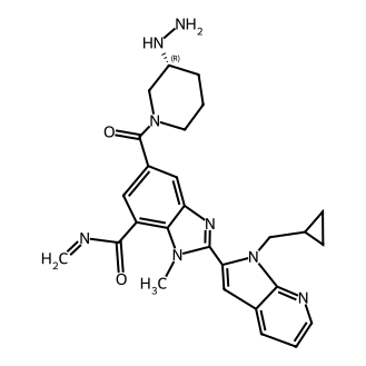 C=NC(=O)c1cc(C(=O)N2CCC[C@@H](NN)C2)cc2nc(-c3cc4cccnc4n3CC3CC3)n(C)c12